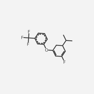 CC(C)C1C=C(F)C=C(Oc2cccc(C(F)(F)F)c2)C1